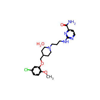 COc1ccc(Cl)cc1OCC1CCN(CCCNc2nccc(C(N)=O)n2)CC1.O